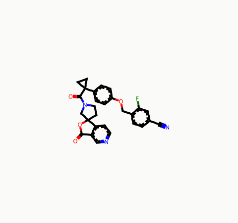 N#Cc1ccc(COc2ccc(C3(C(=O)N4CCC5(C4)OC(=O)c4cnccc45)CC3)cc2)c(F)c1